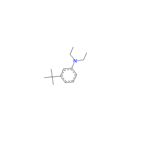 CCN(CC)c1cccc(C(C)(C)C)c1